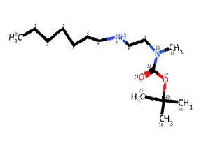 CCCCCCCNCCN(C)C(=O)OC(C)(C)C